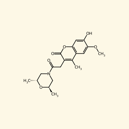 COc1cc2c(C)c(CC(=O)N3C[C@@H](C)O[C@H](C)C3)c(=O)oc2cc1O